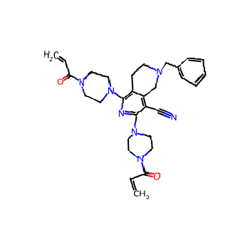 C=CC(=O)N1CCN(c2nc(N3CCN(C(=O)C=C)CC3)c3c(c2C#N)CN(Cc2ccccc2)CC3)CC1